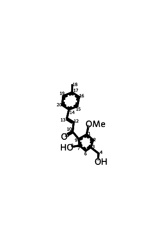 COc1cc(CO)cc(O)c1C(=O)C=Cc1ccc(C)cc1